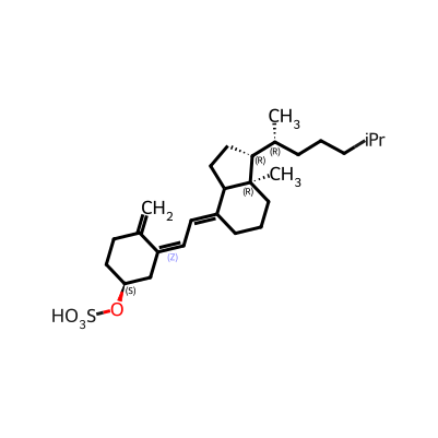 C=C1CC[C@H](OS(=O)(=O)O)C/C1=C/C=C1CCC[C@@]2(C)C1CC[C@@H]2[C@H](C)CCCC(C)C